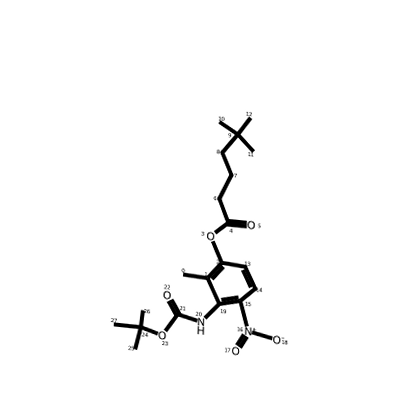 Cc1c(OC(=O)CCCC(C)(C)C)ccc([N+](=O)[O-])c1NC(=O)OC(C)(C)C